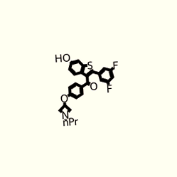 CCCN1CC(Oc2ccc(C(=O)c3c(-c4cc(F)cc(F)c4)sc4cc(O)ccc34)cc2)C1